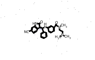 CN(C)CCN(C)C(=O)c1cccc(N/C(=C2\C(=O)Nc3cc(C#N)ccc32)c2ccccc2)c1